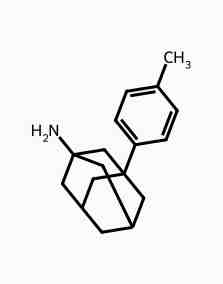 Cc1ccc(C23CC4CC(CC(N)(C4)C2)C3)cc1